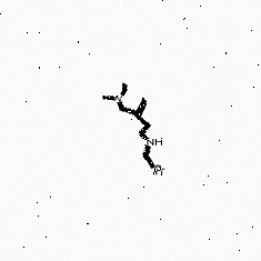 CC(C)CNCCC(C)CN(C)C